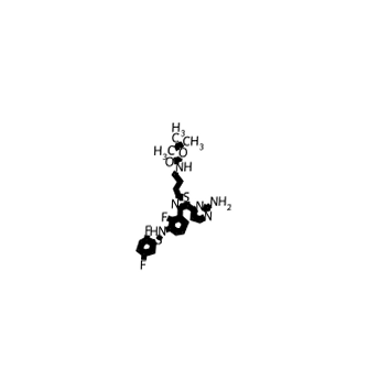 CC(C)(C)OC(=O)NCCCc1nc(-c2cccc(NSc3cc(F)ccc3F)c2F)c(-c2ccnc(N)n2)s1